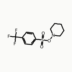 O=S(=O)(ON1CCCCC1)c1ccc(C(F)(F)F)cc1